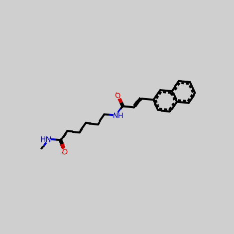 CNC(=O)CCCCCNC(=O)/C=C/c1ccc2ccccc2c1